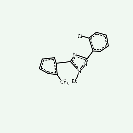 CCn1nc(-c2ccccc2Cl)nc1-c1ccccc1C(F)(F)F